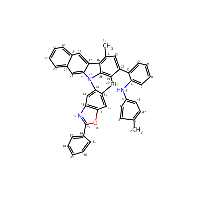 Cc1ccc(Nc2ccccc2-c2cc(C)c3c4cc5ccccc5cc4n4c3c2Bc2cc3oc(-c5ccccc5)nc3cc2-4)cc1